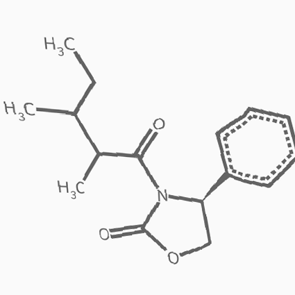 CCC(C)C(C)C(=O)N1C(=O)OC[C@@H]1c1ccccc1